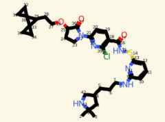 CC1(C)CC(CCCNc2cccc(SNC(=O)c3ccc(N4CCC(OCCC5C6(CC6)C56CC6)C4=O)nc3Cl)n2)CN1